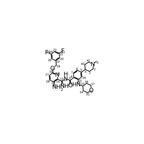 CN1CCC(c2ccc(C(=O)NC(=N)c3nc(OCc4cc(F)cc(F)c4)ccc3N)c(NC3CCOCC3)c2)CC1